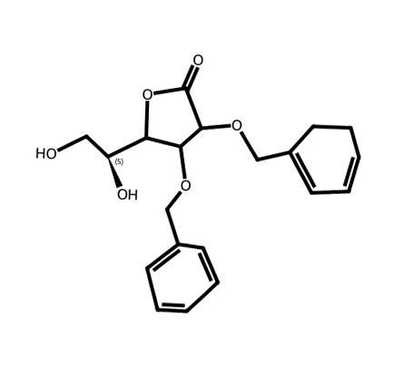 O=C1OC([C@@H](O)CO)C(OCc2ccccc2)C1OCC1=CC=CCC1